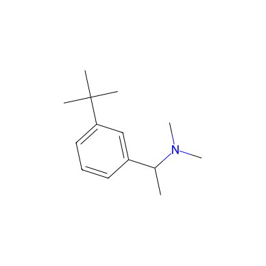 CC(c1cccc(C(C)(C)C)c1)N(C)C